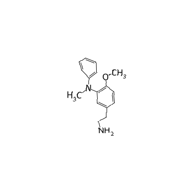 COc1ccc(CCN)cc1N(C)c1ccccc1